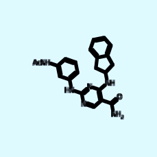 CC(=O)Nc1cccc(Nc2ncc(C(N)=O)c(NC3Cc4ccccc4C3)n2)c1